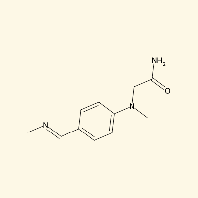 CN=Cc1ccc(N(C)CC(N)=O)cc1